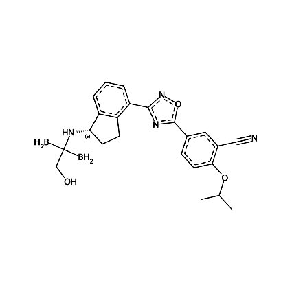 BC(B)(CO)N[C@H]1CCc2c(-c3noc(-c4ccc(OC(C)C)c(C#N)c4)n3)cccc21